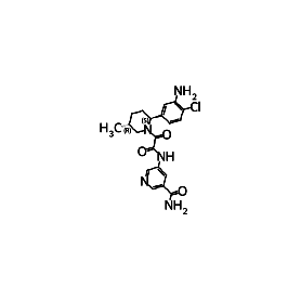 C[C@@H]1CC[C@@H](c2ccc(Cl)c(N)c2)N(C(=O)C(=O)Nc2cncc(C(N)=O)c2)C1